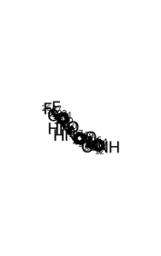 O=C(Nc1ccc(S(=O)(=O)N2CCNCC2)cc1)Nc1cccc(OC(F)F)c1